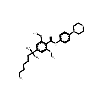 CCCCCCC(C)(C)c1cc(OC)c(C(=O)Nc2ccc(N3CCOCC3)cc2)c(OC)c1